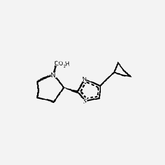 O=C(O)N1CCC[C@@H]1c1nc(C2CC2)cs1